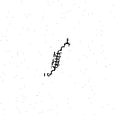 OCCCC(F)(F)C(F)(F)C(F)(F)C(F)(F)C(F)(F)C(F)(F)CCCCC=C(F)F